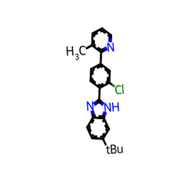 Cc1cccnc1-c1ccc(-c2nc3ccc(C(C)(C)C)cc3[nH]2)c(Cl)c1